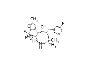 C=C1NNCC(C)(C)CC(Cc2cccc(F)c2)/C(C)=C\1c1cc(C)oc1C(F)(F)F